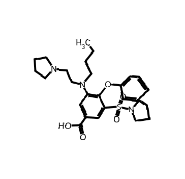 CCCCN(CCN1CCCC1)c1cc(C(=O)O)cc(S(=O)(=O)N2CCCC2)c1Oc1ccccc1